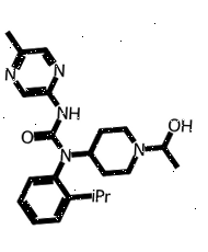 Cc1cnc(NC(=O)N(c2ccccc2C(C)C)C2CCN(C(C)O)CC2)cn1